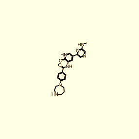 CNc1cncc(-c2c[nH]c(=O)c(NC(=O)c3ccc(N4CCCNCC4)cc3)c2)n1